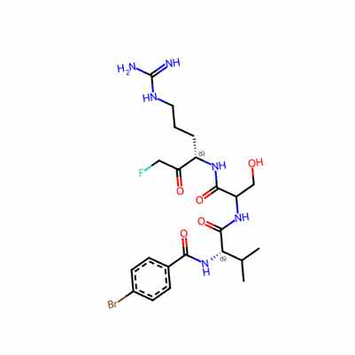 CC(C)[C@H](NC(=O)c1ccc(Br)cc1)C(=O)NC(CO)C(=O)N[C@@H](CCCNC(=N)N)C(=O)CF